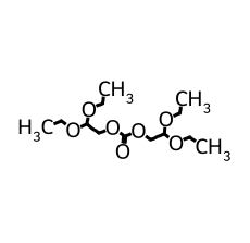 CCOC(COC(=O)OCC(OCC)OCC)OCC